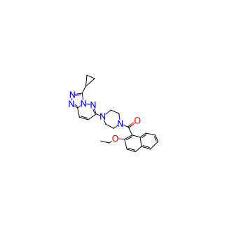 CCOc1ccc2ccccc2c1C(=O)N1CCN(c2ccc3nnc(C4CC4)n3n2)CC1